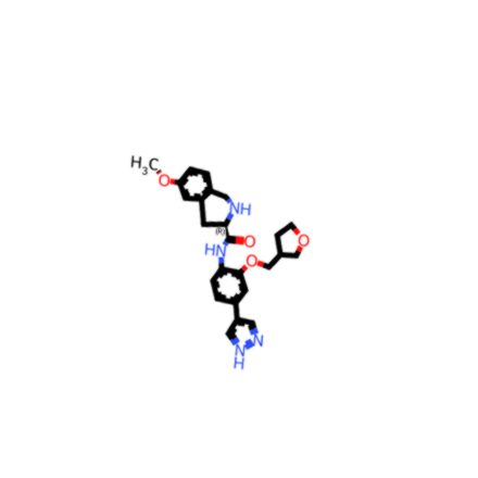 COc1ccc2c(c1)C[C@H](C(=O)Nc1ccc(-c3cn[nH]c3)cc1OCC1CCOC1)NC2